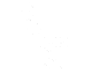 CN(C)C(=O)CNC1CCC(c2ccc(NC(=O)c3nc(C#N)c[nH]3)c(C3=CCC(C)(C)CC3)c2)CC1